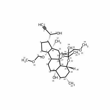 C#CC(O)[C@H]1CC[C@]2(OCOC)C3CC[C@]4(O)C[C@@H](C)C[C@H]5OC(C)(C)OC[C@]54C3[C@H](OCOC)C[C@]12C